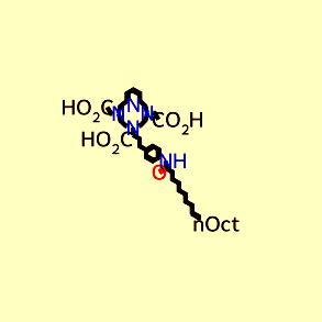 CCCCCCCCC=CCCCCCCCC(=O)Nc1ccc(CCC(C(=O)O)N2CCN(CC(=O)O)Cc3cccc(n3)CN(CC(=O)O)CC2)cc1